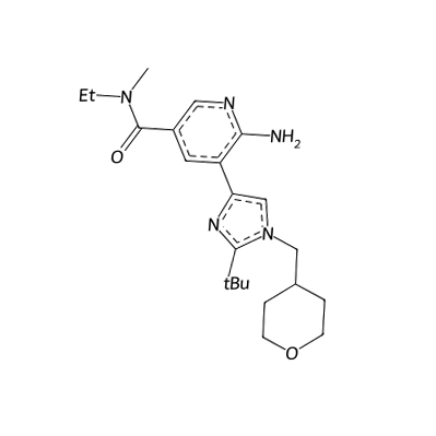 CCN(C)C(=O)c1cnc(N)c(-c2cn(CC3CCOCC3)c(C(C)(C)C)n2)c1